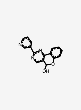 OC1Oc2ccccc2-c2nc(-c3cccnc3)ncc21